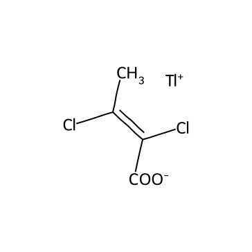 C/C(Cl)=C(\Cl)C(=O)[O-].[Tl+]